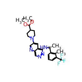 COC(OC)C1CCN(c2cnc3cnnc(N[C@H](C)c4cccc(C(F)(F)F)c4C)c3c2)CC1